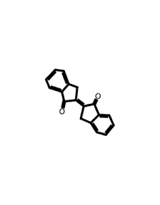 O=C1/C(=C2\Cc3ccccc3C2=O)Cc2ccccc21